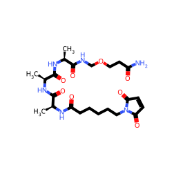 C[C@H](NC(=O)CCCCCN1C(=O)C=CC1=O)C(=O)N[C@@H](C)C(=O)N[C@@H](C)C(=O)NCOCCC(N)=O